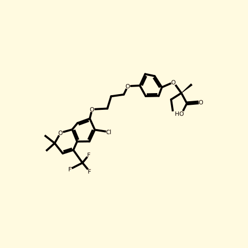 CC[C@](C)(Oc1ccc(OCCCOc2cc3c(cc2Cl)C(C(F)(F)F)=CC(C)(C)O3)cc1)C(=O)O